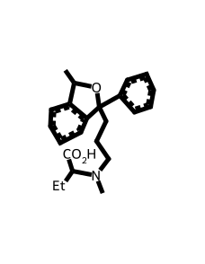 CCC(C(=O)O)N(C)CCCC1(c2ccccc2)OC(C)c2ccccc21